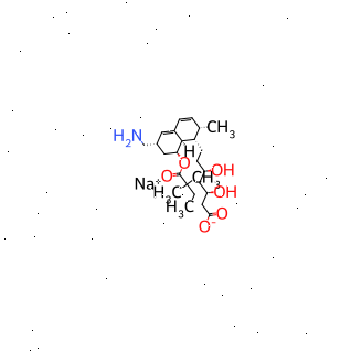 CCC(C)(C)C(=O)O[C@H]1C[C@H](CN)C=C2C=C[C@H](C)[C@H](CC[C@@H](O)C[C@@H](O)CC(=O)[O-])[C@H]21.[Na+]